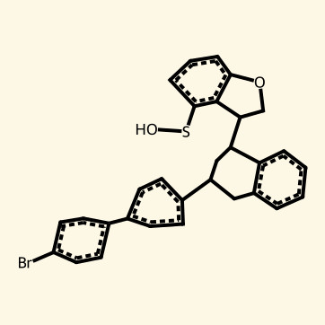 OSc1cccc2c1C(C1CC(c3ccc(-c4ccc(Br)cc4)cc3)Cc3ccccc31)CO2